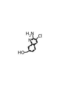 Nc1nc2cc([CH]O)ccc2cc1Cl